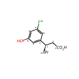 CCC[C@H](CC(=O)O)c1cc(O)cc(F)c1